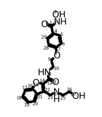 O=C(NO)c1ccc(OCCNC(=O)c2oc3ccccc3c2CNCCO)cc1